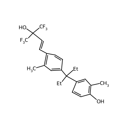 CCC(CC)(c1ccc(O)c(C)c1)c1ccc(C=CC(O)(C(F)(F)F)C(F)(F)F)c(C)c1